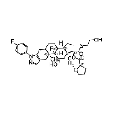 C[C@]12Cc3cnn(-c4ccc(F)nc4)c3C=C1CC[C@H]1[C@@H]3CC[C@](OC(=O)[C@H]4CCCO4)(C(=O)SCCO)[C@@]3(C)C[C@H](O)[C@@]12F